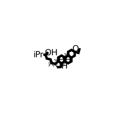 CC(C)C(O)CC[C@@H](C)[C@H]1CC[C@H]2[C@@H]3CC=C4CC5(CCO5)CC[C@]4(C)[C@H]3CC[C@]12C